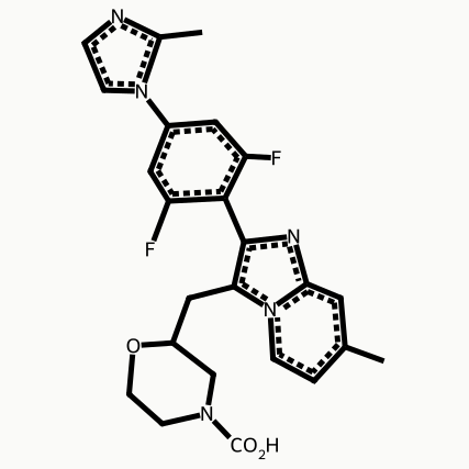 Cc1ccn2c(CC3CN(C(=O)O)CCO3)c(-c3c(F)cc(-n4ccnc4C)cc3F)nc2c1